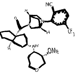 CO[C@@H]1COCC[C@@H]1N[C@@H]1C[C@H]2CCC[C@@]2(C(=O)N2C[C@@H]3C[C@H]2CN3c2cc(C(F)(F)F)ccc2C#N)C1